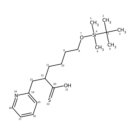 CC(C)(C)[Si](C)(C)OCCCCC(Cc1ccccn1)C(O)=S